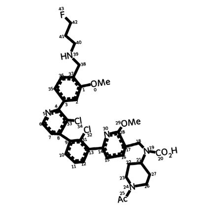 COc1cc(-c2nccc(-c3cccc(-c4ccc(CN(C(=O)O)C5CCN(C(C)=O)CC5)c(OC)n4)c3Cl)c2Cl)ccc1CNCCCF